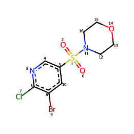 O=S(=O)(c1cnc(Cl)c(Br)c1)N1CCOCC1